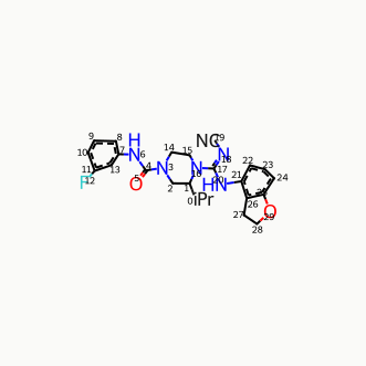 CC(C)C1CN(C(=O)Nc2cccc(F)c2)CCN1/C(=N\C#N)Nc1cccc2c1CCO2